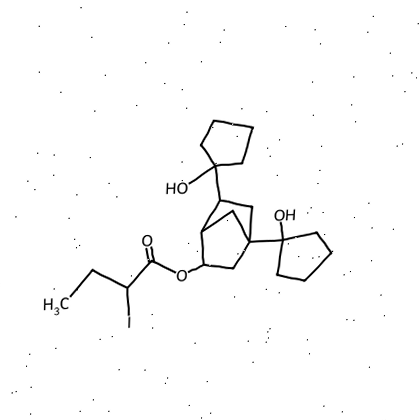 CCC(I)C(=O)OC1CC2(C3(O)CCCC3)CC1C(C1(O)CCCC1)C2